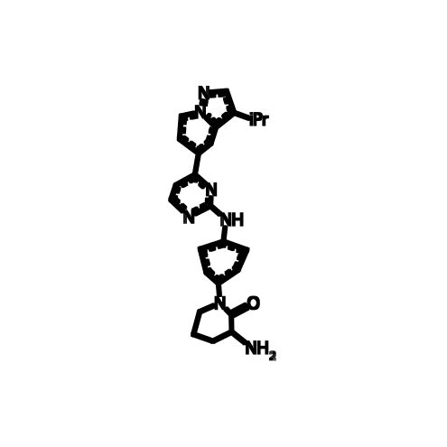 CC(C)c1cnn2ccc(-c3ccnc(Nc4ccc(N5CCCC(N)C5=O)cc4)n3)cc12